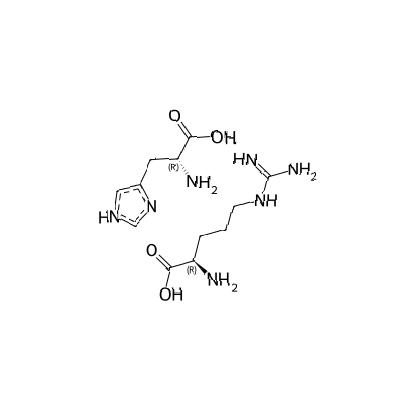 N=C(N)NCCC[C@@H](N)C(=O)O.N[C@H](Cc1c[nH]cn1)C(=O)O